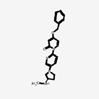 CN[C@@H]1CCN(c2ccc(-n3ccc(OCc4ccccc4)cc3=O)nc2)C1